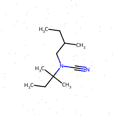 CCC(C)CN(C#N)C(C)(C)CC